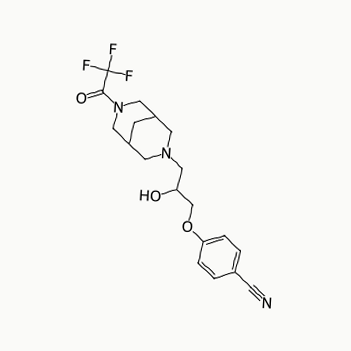 N#Cc1ccc(OCC(O)CN2CC3CC(C2)CN(C(=O)C(F)(F)F)C3)cc1